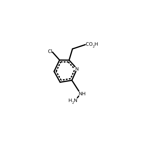 NNc1ccc(Cl)c(CC(=O)O)n1